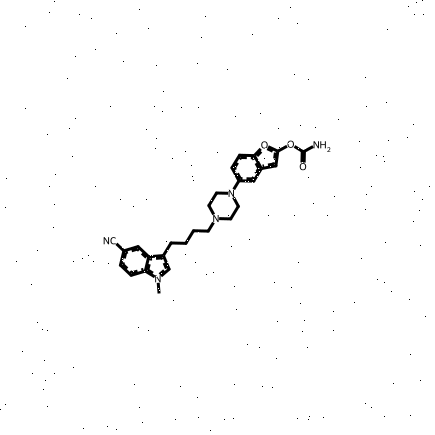 Cn1cc(CCCCN2CCN(c3ccc4oc(OC(N)=O)cc4c3)CC2)c2cc(C#N)ccc21